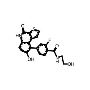 O=C(NCCO)c1ccc(-c2c(O)ccc3[nH]c(=O)c4sccc4c23)cc1F